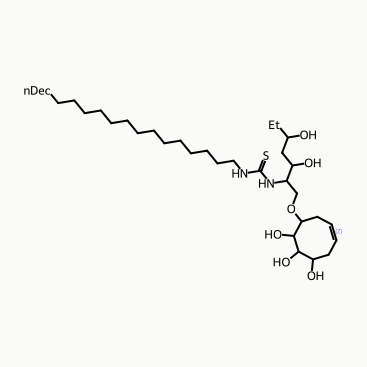 CCCCCCCCCCCCCCCCCCCCCCCCNC(=S)NC(COC1C/C=C\CC(O)C(O)C1O)C(O)CC(O)CC